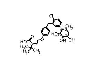 C[SH]1C[C@@H](O)[C@@H](O)[C@@H](O)[C@@H]1c1ccc(Cl)c(Cc2ccc(OCCN(C(=O)O)C(C)(C)C)cc2)c1